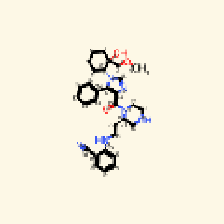 COC[C@]1(O)CCCC[C@H]1n1cnc(C(=O)N2CCNC[C@H]2CCNc2ccccc2C#N)c1-c1ccccc1